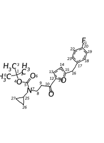 CC(C)(C)OC(=O)N(CCC(=O)c1ccc(Cc2ccc(F)cc2)o1)C1CC1